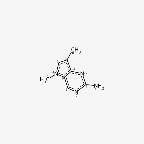 Cc1cn(C)c2cnc(N)nc12